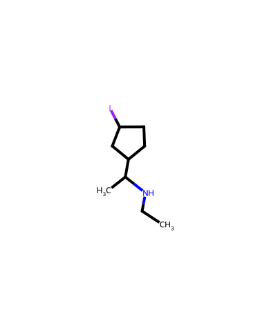 CCNC(C)C1CCC(I)C1